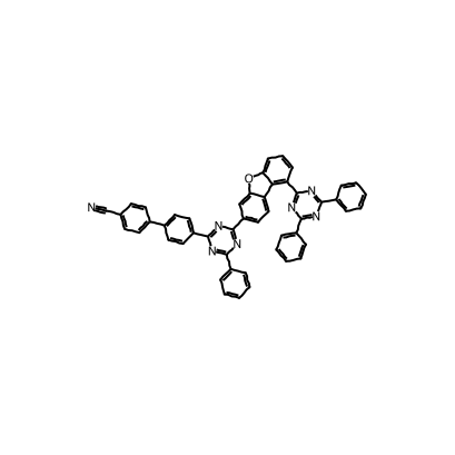 N#Cc1ccc(-c2ccc(-c3nc(-c4ccccc4)nc(-c4ccc5c(c4)oc4cccc(-c6nc(-c7ccccc7)nc(-c7ccccc7)n6)c45)n3)cc2)cc1